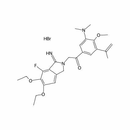 Br.C=C(C)c1cc(C(=O)CN2Cc3cc(OCC)c(OCC)c(F)c3C2=N)cc(N(C)C)c1OC